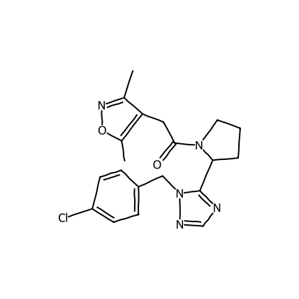 Cc1noc(C)c1CC(=O)N1CCCC1c1ncnn1Cc1ccc(Cl)cc1